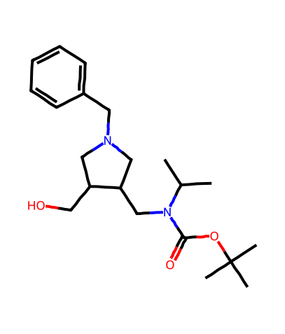 CC(C)N(CC1CN(Cc2ccccc2)CC1CO)C(=O)OC(C)(C)C